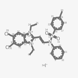 CCn1c(C=CN(c2ccccc2)S(=O)(=O)c2ccc(C)cc2)[n+](CC)c2cc(Cl)c(Cl)cc21.[I-]